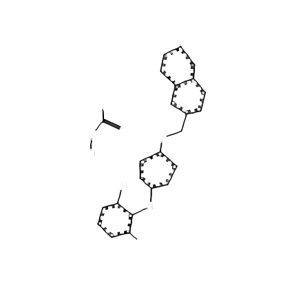 COC(C)=O.Clc1cccc(Cl)c1Nc1ccc(OCc2ccc3ccccc3c2)cc1